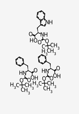 CC(C)(C)OC(=O)N[C@@H](Cc1ccccc1)C(=O)O.CC(C)(C)OC(=O)N[C@@H](Cc1ccccc1)C(=O)O.CC(C)(C)OC(=O)N[C@H](Cc1c[nH]c2ccccc12)C(=O)O